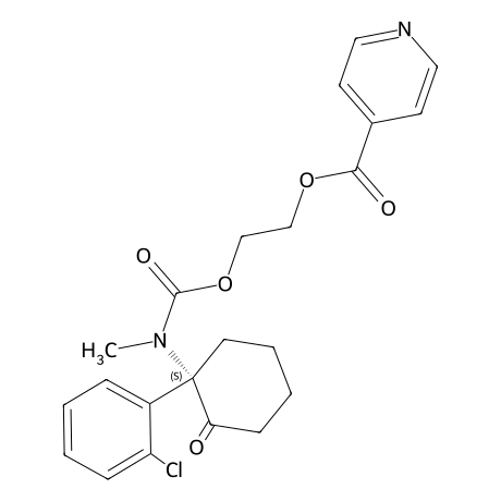 CN(C(=O)OCCOC(=O)c1ccncc1)[C@]1(c2ccccc2Cl)CCCCC1=O